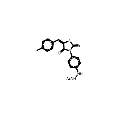 CC(=O)NNc1ccc(N2C(=O)/C(=C\c3ccc(C)cc3)SC2=S)cc1